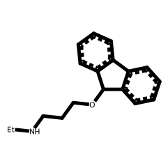 CCNCCCOC1c2ccccc2-c2ccccc21